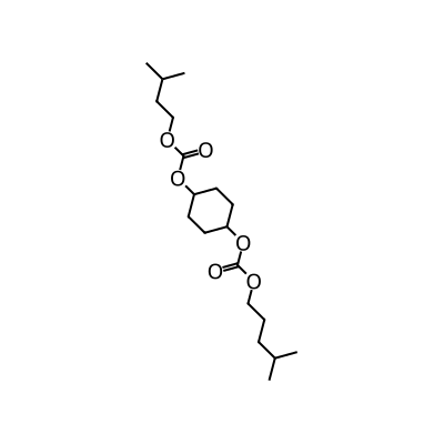 CC(C)CCCOC(=O)OC1CCC(OC(=O)OCCC(C)C)CC1